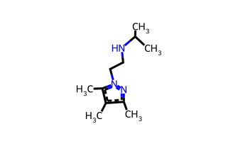 Cc1nn(CCNC(C)C)c(C)c1C